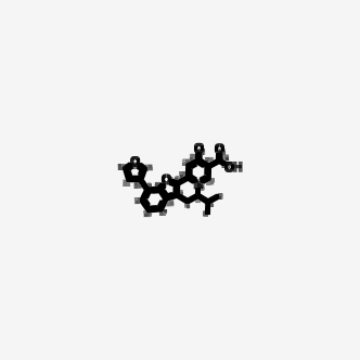 CC(C)C1Cc2c(oc3c(-c4ccoc4)cccc23)-c2cc(=O)c(C(=O)O)cn21